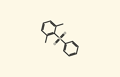 Cc1cccc(C)c1S(=O)(=O)c1ccccc1